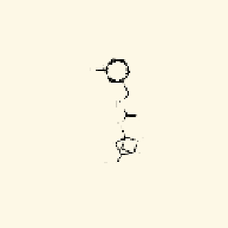 O=C(NCc1cccc(C(F)(F)F)c1)NC12CC(C1)C(C(F)(F)F)C2